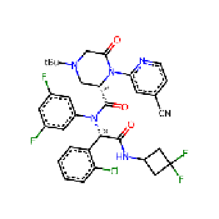 CC(C)(C)N1CC(=O)N(c2cc(C#N)ccn2)[C@H](C(=O)N(c2cc(F)cc(F)c2)[C@H](C(=O)NC2CC(F)(F)C2)c2ccccc2Cl)C1